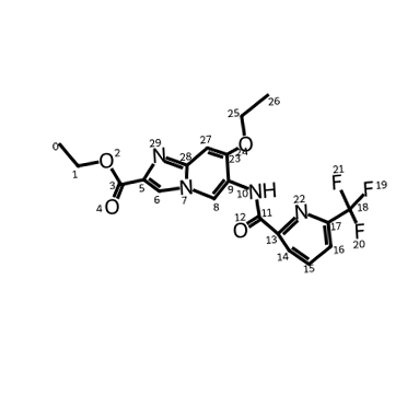 CCOC(=O)c1cn2cc(NC(=O)c3cccc(C(F)(F)F)n3)c(OCC)cc2n1